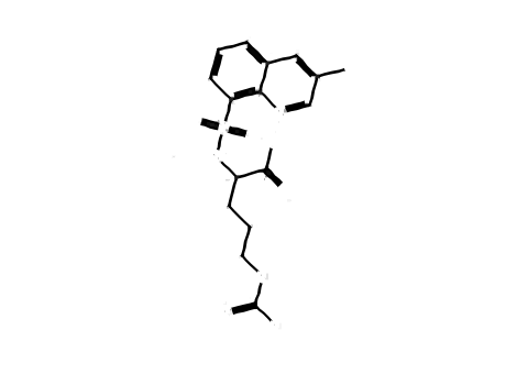 Cc1cnc2c(S(=O)(=O)NC(CCCNC(=N)N)C(=O)Cl)cccc2c1.Cl